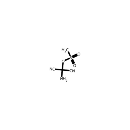 CS(=O)(=O)OC(N)(C#N)C#N